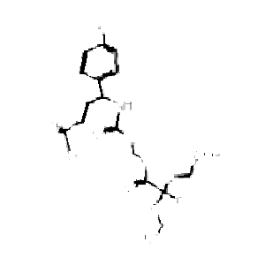 CCOC(C)(OCC)C(=O)OCOC(=O)NC(CCC(=O)O)c1ccc(Cl)cc1